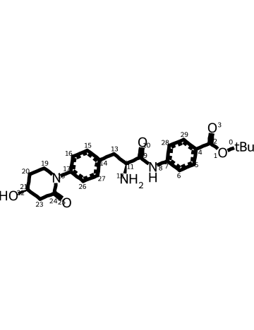 CC(C)(C)OC(=O)c1ccc(NC(=O)[C@@H](N)Cc2ccc(N3CC[C@H](O)CC3=O)cc2)cc1